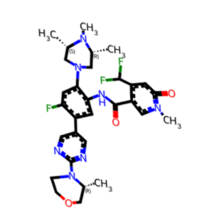 C[C@@H]1COCCN1c1ncc(-c2cc(NC(=O)c3cn(C)c(=O)cc3C(F)F)c(N3C[C@@H](C)N(C)[C@@H](C)C3)cc2F)cn1